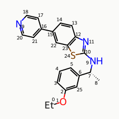 CCOc1cccc([C@@H](C)Nc2nc3ccc(-c4ccncc4)cc3s2)c1